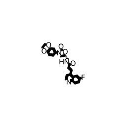 O=C(C=Cc1ccnc2ccc(F)cc12)NC[C@@H]1CN(c2ccc3c(c2)OCCO3)C(=O)O1